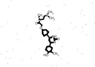 CCN(CCN(C)C)C(=O)COc1ccc(-c2cc(-c3ccc(O)c(C)c3)nc(=O)[nH]2)cc1